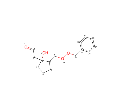 O=CCC1(O)CCCC1COOCc1ccccc1